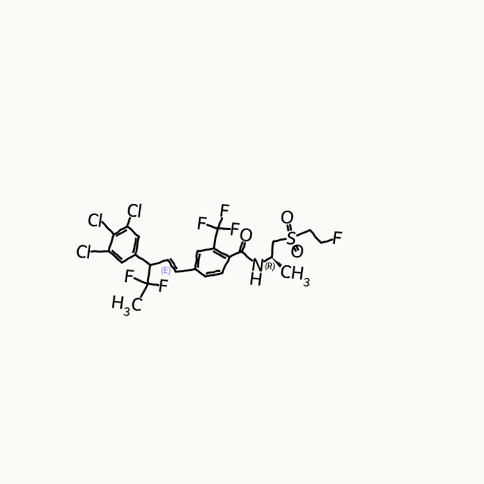 C[C@H](CS(=O)(=O)CCF)NC(=O)c1ccc(/C=C/C(c2cc(Cl)c(Cl)c(Cl)c2)C(C)(F)F)cc1C(F)(F)F